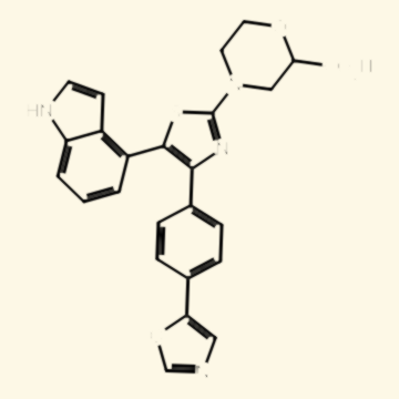 O=C(O)C1CN(c2nc(-c3ccc(-c4cnco4)cc3)c(-c3cccc4[nH]ccc34)s2)CCO1